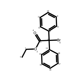 CCOC(=O)C(Br)(c1ccccc1)c1ccccc1